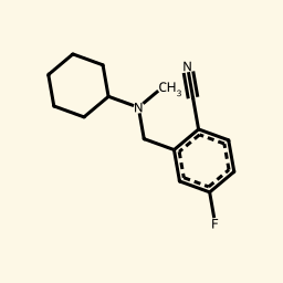 CN(Cc1cc(F)ccc1C#N)C1CCCCC1